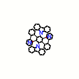 N#Cc1c(-c2ccccc2-c2ccccc2)c(-n2c3ccccc3c3ccccc32)c(C#N)c(-c2ccccc2-c2ccccc2)c1-n1c2ccccc2c2ccccc21